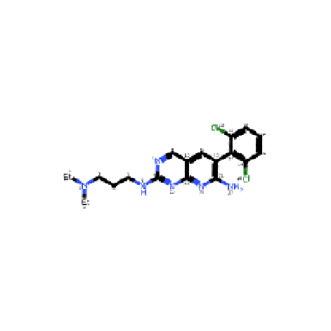 CCN(CC)CCCNc1ncc2cc(-c3c(Cl)cccc3Cl)c(N)nc2n1